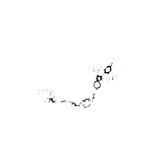 Cc1cc(C)c(C2=C(O)C3(CCC(OCCN4CCN(CCOCCOCC(=O)OC(C)(C)C)CC4)CC3)OC2=O)c(C)c1